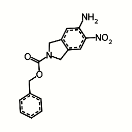 Nc1cc2c(cc1[N+](=O)[O-])CN(C(=O)OCc1ccccc1)C2